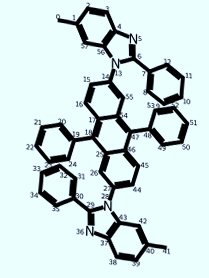 Cc1ccc2nc(-c3ccccc3)n(-c3ccc4c(-c5ccccc5)c5cc(-n6c(-c7ccccc7)nc7ccc(C)cc76)ccc5c(-c5ccccc5)c4c3)c2c1